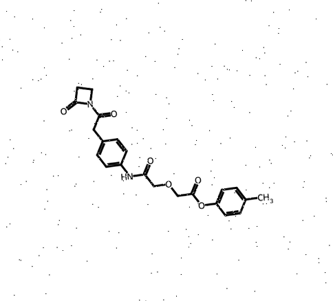 Cc1ccc(OC(=O)COCC(=O)Nc2ccc(CC(=O)N3CCC3=O)cc2)cc1